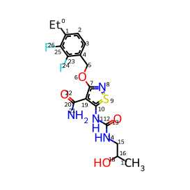 CCc1ccc(COc2nsc(NC(=O)NCC(C)O)c2C(N)=O)c(F)c1F